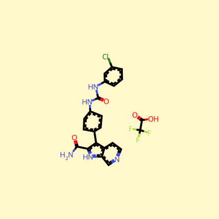 NC(=O)c1[nH]c2cnccc2c1-c1ccc(NC(=O)Nc2cccc(Cl)c2)cc1.O=C(O)C(F)(F)F